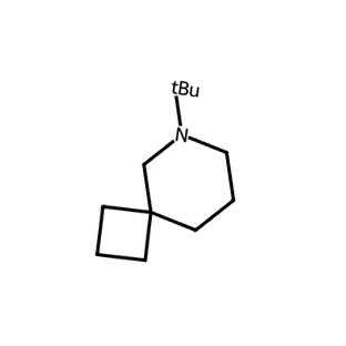 CC(C)(C)N1CCCC2(CCC2)C1